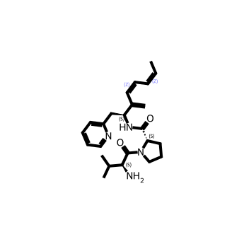 C=C(/C=C\C=C/C)[C@H](Cc1ccccn1)NC(=O)[C@@H]1CCCN1C(=O)[C@@H](N)C(C)C